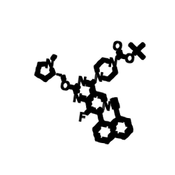 C#Cc1cccc2cccc(-c3ncc4c(N5CCN(C(=O)OC(C)(C)C)CC5)nc(OC[C@@H]5CCCN5C)nc4c3F)c12